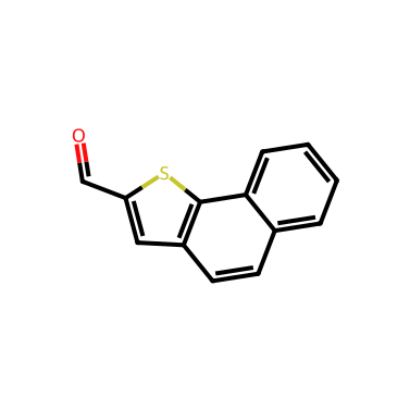 O=Cc1cc2ccc3ccccc3c2s1